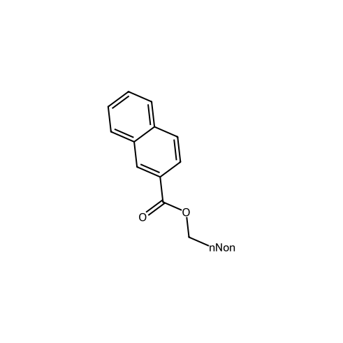 CCCCCCCCCCOC(=O)c1ccc2ccccc2c1